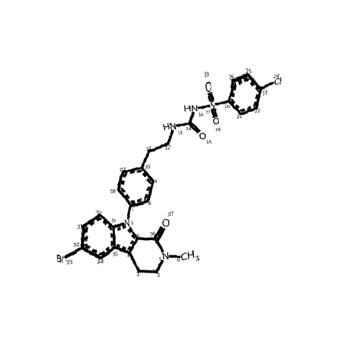 CN1CCc2c(n(-c3ccc(CCNC(=O)NS(=O)(=O)c4ccc(Cl)cc4)cc3)c3ccc(Br)cc23)C1=O